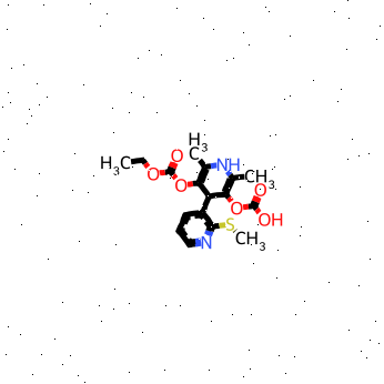 CCOC(=O)OC1=C(C)NC(C)=C(OC(=O)O)C1c1cccnc1SC